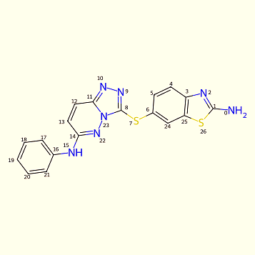 Nc1nc2ccc(Sc3nnc4ccc(Nc5ccccc5)nn34)cc2s1